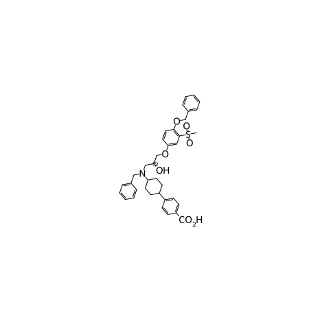 CS(=O)(=O)c1cc(OC[C@@H](O)CN(Cc2ccccc2)C2CCC(c3ccc(C(=O)O)cc3)CC2)ccc1OCc1ccccc1